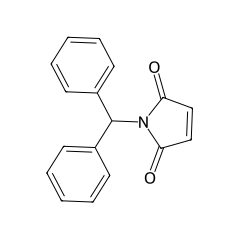 O=C1C=CC(=O)N1C(c1ccccc1)c1ccccc1